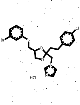 Cl.Clc1ccc(CCC2(Cn3ccnc3)OCC(CSc3cccc(Br)c3)O2)cc1